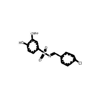 COc1cc(S(=O)(=O)N=Cc2ccc(Cl)cc2)ccc1O